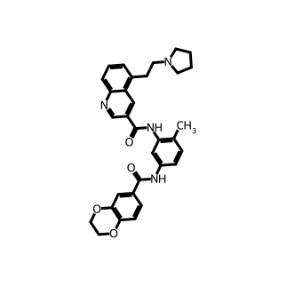 Cc1ccc(NC(=O)c2ccc3c(c2)OCCO3)cc1NC(=O)c1cnc2cccc(CCN3CCCC3)c2c1